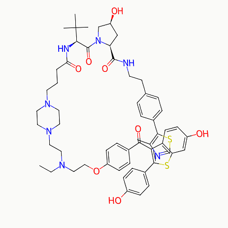 CCN(CCOc1ccc(C(=O)c2c(-c3ccc(O)cc3)sc3cc(O)ccc23)cc1)CCN1CCN(CCCC(=O)N[C@H](C(=O)N2C[C@@H](O)C[C@H]2C(=O)NCCc2ccc(-c3scnc3C)cc2)C(C)(C)C)CC1